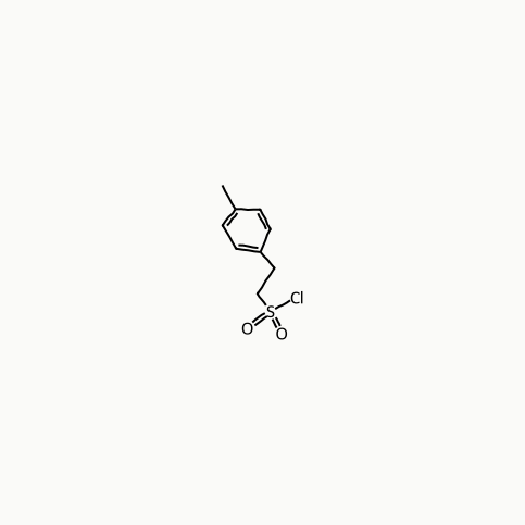 Cc1ccc(CCS(=O)(=O)Cl)cc1